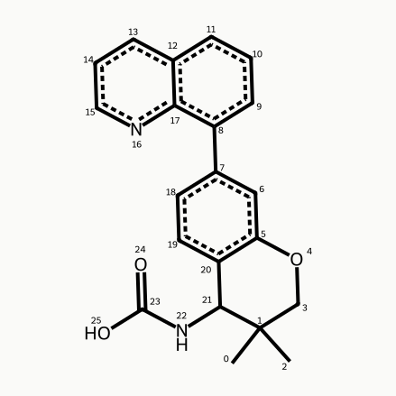 CC1(C)COc2cc(-c3cccc4cccnc34)ccc2C1NC(=O)O